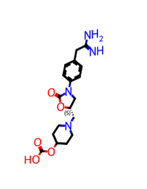 N=C(N)Cc1ccc(N2C[C@H](CN3CCC(OC(=O)O)CC3)OC2=O)cc1